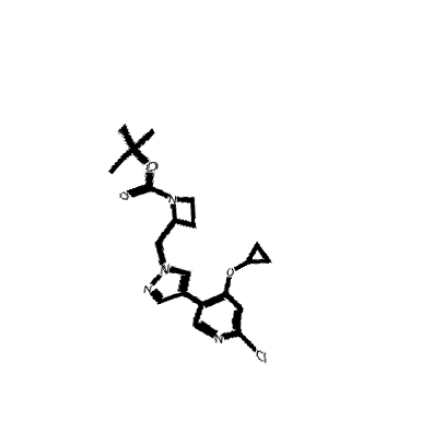 CC(C)(C)OC(=O)N1CCC1Cn1cc(-c2cnc(Cl)cc2OC2CC2)cn1